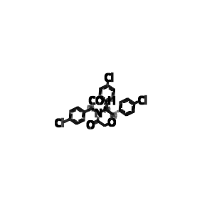 O=C(O)[C@@H](c1ccc(Cl)cc1)N1C(=O)CO[C@@H](c2ccc(Cl)cc2)[C@H]1c1ccc(Cl)cc1